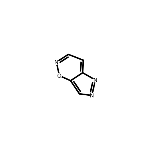 c1cc2nncc-2on1